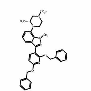 C[C@@H]1CN(C(=O)O)CCN1c1cccc2c(-c3ccc(OCc4ccccc4)nc3OCc3ccccc3)nn(C)c12